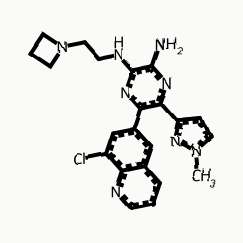 Cn1ccc(-c2nc(N)c(NCCN3CCC3)nc2-c2cc(Cl)c3ncccc3c2)n1